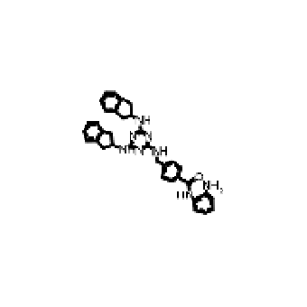 Nc1ccccc1NC(=O)c1ccc(CNc2nc(NC3Cc4ccccc4C3)nc(NC3Cc4ccccc4C3)n2)cc1